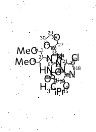 COCC(COC)n1c(NS(=O)(=O)[C@@H](C)[C@@H](OC(C)C)c2ncc(Cl)cn2)nnc1[C@H]1COCCO1